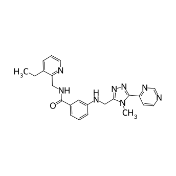 CCc1cccnc1CNC(=O)c1cccc(NCc2nnc(-c3ccncn3)n2C)c1